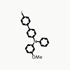 COc1cccc(N(c2ccccc2)c2ccc(-c3ccc(I)cc3)cc2)c1